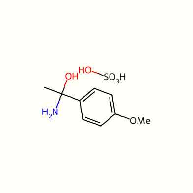 COc1ccc(C(C)(N)O)cc1.O=S(=O)(O)O